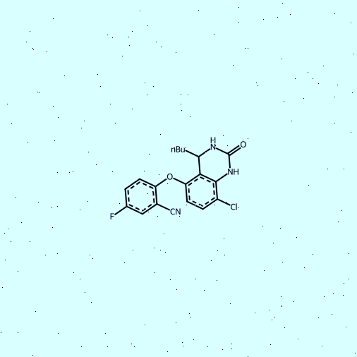 CCCCC1NC(=O)Nc2c(Cl)ccc(Oc3ccc(F)cc3C#N)c21